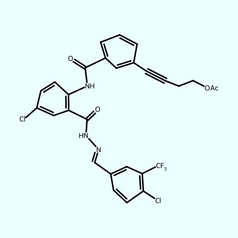 CC(=O)OCCC#Cc1cccc(C(=O)Nc2ccc(Cl)cc2C(=O)NN=Cc2ccc(Cl)c(C(F)(F)F)c2)c1